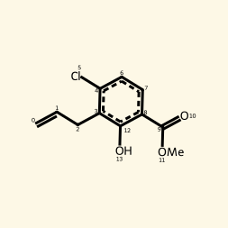 C=CCc1c(Cl)ccc(C(=O)OC)c1O